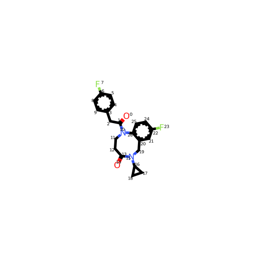 O=C(Cc1ccc(F)cc1)N1CCC(=O)N(C2CC2)Cc2cc(F)ccc21